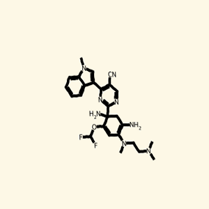 CN(C)CCN(C)C1=C(N)CC(N)(c2ncc(C#N)c(-c3cn(C)c4ccccc34)n2)C(OC(F)F)=C1